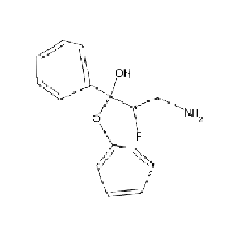 NCC(F)C(O)(Oc1ccccc1)c1ccccc1